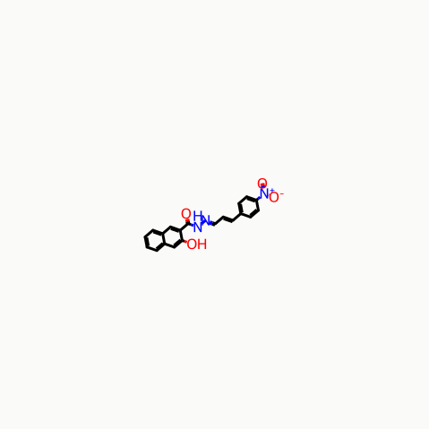 O=C(NN=CC=Cc1ccc([N+](=O)[O-])cc1)c1cc2ccccc2cc1O